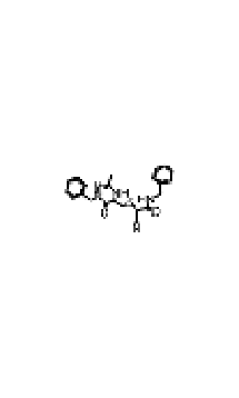 CC(=O)NC(CSC(C#N)C(=O)NCc1ccccc1)C(=O)NCc1ccccc1